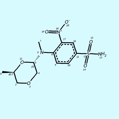 C[C@@H]1COC[C@@H](N(C)c2ccc(S(N)(=O)=O)cc2[N+](=O)[O-])O1